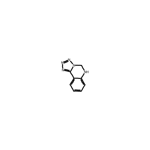 c1ccc2c(c1)NCn1nnnc1-2